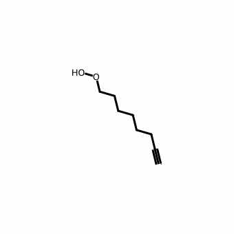 [C]#CCCCCCCOO